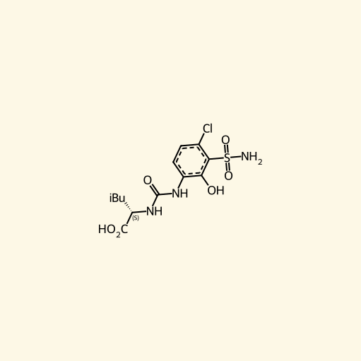 CCC(C)[C@H](NC(=O)Nc1ccc(Cl)c(S(N)(=O)=O)c1O)C(=O)O